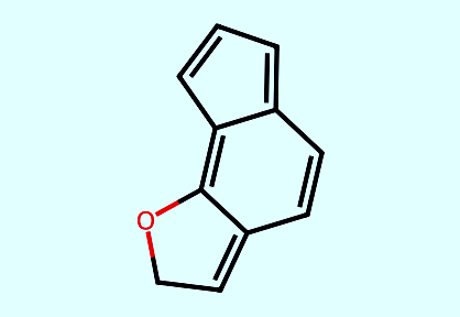 C1=Cc2c3c(ccc2=C1)=CCO3